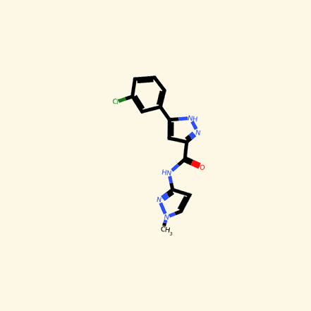 Cn1ccc(NC(=O)c2cc(-c3cccc(Cl)c3)[nH]n2)n1